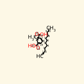 C#CCCCCCCCCCC.CC1(C(=O)O)C=CC=C(C(=O)O)C1